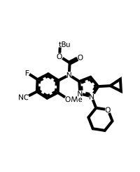 COc1cc(C#N)c(F)cc1N(C(=O)OC(C)(C)C)c1cc(C2CC2)n(C2CCCCO2)n1